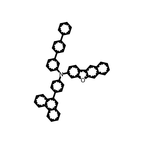 c1ccc(-c2ccc(-c3cccc(N(c4ccc(-c5cc6ccccc6c6ccccc56)cc4)c4ccc5c(c4)oc4cc6ccccc6cc45)c3)cc2)cc1